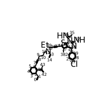 C=Cc1cccc(C#CCCCN(C=C)C(C#Cc2sc3c(c(-c4ccc(Cl)cc4)nc(=N)n3C(C)=N)c2C)CC)c1C(=C)C